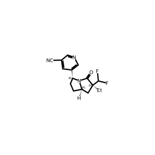 CC[C@]1(C(F)F)C[C@H]2CC[C@H](c3cncc(C#N)c3)N2C1=O